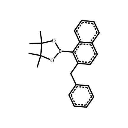 CC1(C)OB(c2c(Cc3ccccc3)ccc3ccccc23)OC1(C)C